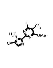 COc1nc(-c2ncc(Cl)n2C)nc(F)c1C(F)(F)F